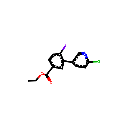 CCOC(=O)c1ccc(I)c(-c2ccc(Cl)nc2)c1